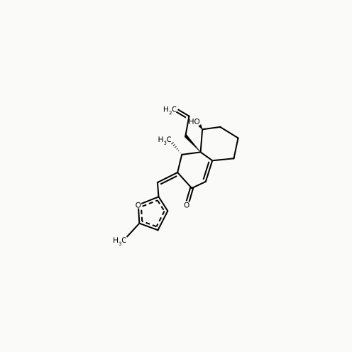 C=CC[C@@]12C(=CC(=O)C(=Cc3ccc(C)o3)[C@@H]1C)CCC[C@@H]2O